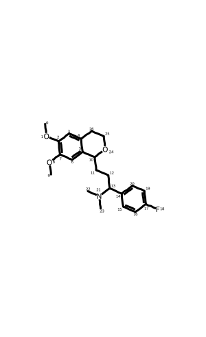 COc1cc2c(cc1OC)C(CCC(c1ccc(F)cc1)N(C)C)OCC2